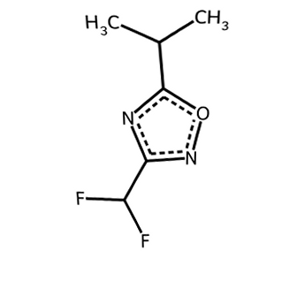 CC(C)c1nc(C(F)F)no1